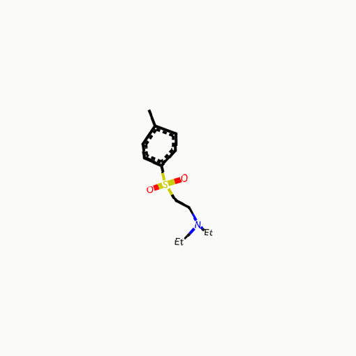 CCN(CC)CCS(=O)(=O)c1ccc(C)cc1